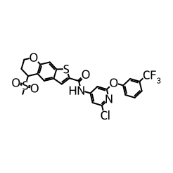 CS(=O)(=O)C1CCOc2cc3sc(C(=O)Nc4cc(Cl)nc(Oc5cccc(C(F)(F)F)c5)c4)cc3cc21